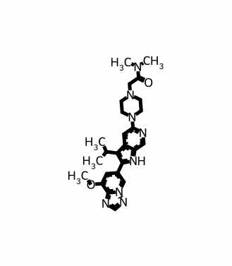 COc1cc(-c2[nH]c3cnc(N4CCN(CC(=O)N(C)C)CC4)cc3c2C(C)C)cn2ncnc12